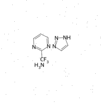 FC(F)(F)c1ncccn1.N.c1c[nH]nn1